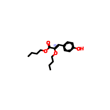 CCCCOC(=O)/C(=C/c1ccc(O)cc1)OCCCC